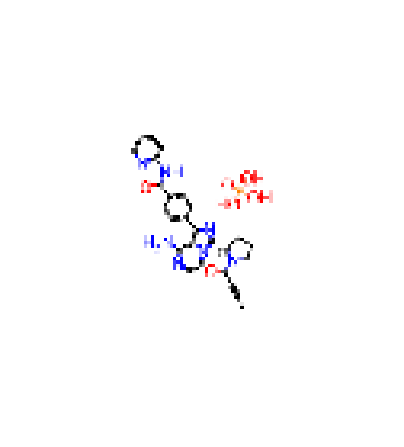 CC#CC(=O)N1CCC[C@H]1c1nc(-c2ccc(C(=O)Nc3ccccn3)cc2)c2c(N)nccn12.O=P(O)(O)O